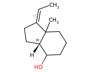 C/C=C1/CC[C@H]2C(O)CCCC12C